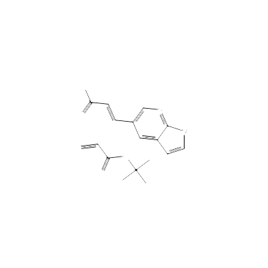 C=CC(=O)OC(C)(C)C.O=C(O)C=Cc1cnc2[nH]ccc2c1